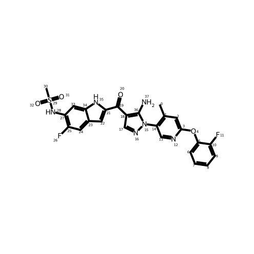 Cc1cc(Oc2ccccc2F)ncc1-n1ncc(C(=O)c2cc3cc(F)c(NS(C)(=O)=O)cc3[nH]2)c1N